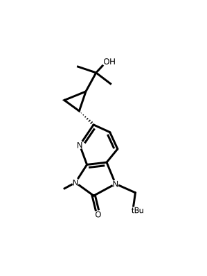 Cn1c(=O)n(CC(C)(C)C)c2ccc([C@@H]3CC3C(C)(C)O)nc21